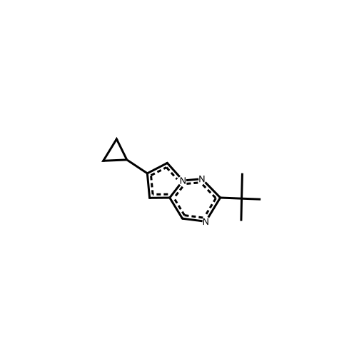 CC(C)(C)c1ncc2cc(C3CC3)cn2n1